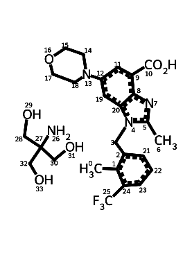 Cc1c(Cn2c(C)nc3c(C(=O)O)cc(N4CCOCC4)cc32)cccc1C(F)(F)F.NC(CO)(CO)CO